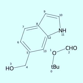 CC(C)(C)OC=O.OCc1ccc2cc[nH]c2c1